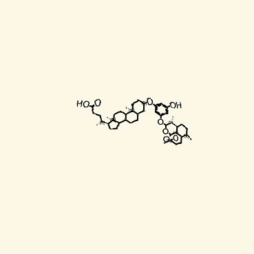 C[C@H]1C(Oc2cc(O)cc(O[C@@H]3CC[C@@]4(C)C(CCC5C4CC[C@@]4(C)C5CCC4[C@H](C)CCC(=O)O)C3)c2)OC2O[C@@]3(C)CCC4[C@H](C)CCC1[C@]24O3